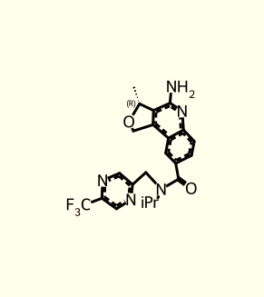 CC(C)N(Cc1cnc(C(F)(F)F)cn1)C(=O)c1ccc2nc(N)c3c(c2c1)CO[C@@H]3C